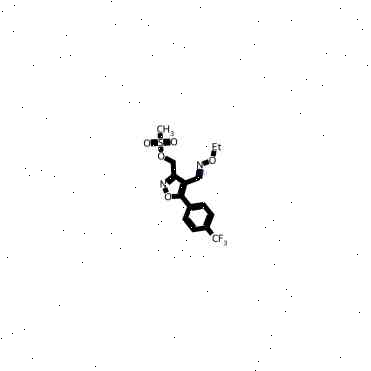 CCO/N=C/c1c(COS(C)(=O)=O)noc1-c1ccc(C(F)(F)F)cc1